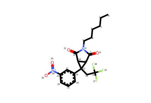 CCCCCCN1C(=O)C2C(C1=O)C2(CC(F)(F)F)c1cccc([N+](=O)[O-])c1